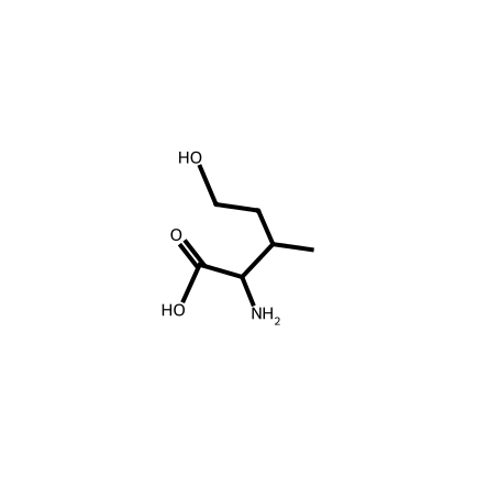 CC(CCO)C(N)C(=O)O